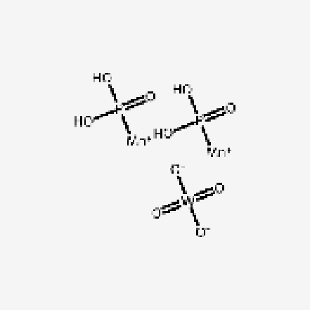 O=[P](O)(O)[Mn+].O=[P](O)(O)[Mn+].[O]=[W](=[O])([O-])[O-]